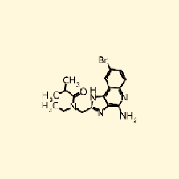 CCN(Cc1nc2c(N)nc3ccc(Br)cc3c2[nH]1)C(=O)C(C)C